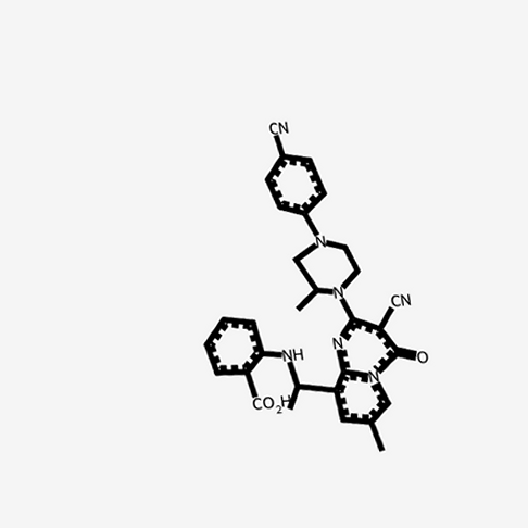 Cc1cc(C(C)Nc2ccccc2C(=O)O)c2nc(N3CCN(c4ccc(C#N)cc4)CC3C)c(C#N)c(=O)n2c1